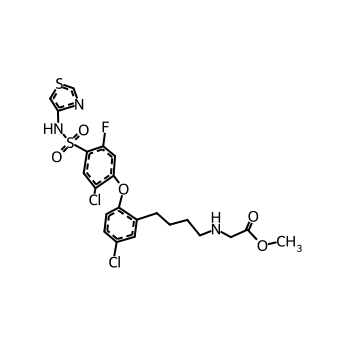 COC(=O)CNCCCCc1cc(Cl)ccc1Oc1cc(F)c(S(=O)(=O)Nc2cscn2)cc1Cl